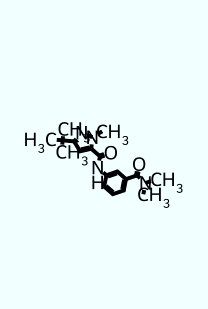 CN(C)C(=O)c1cccc(NC(=O)c2cc(C(C)(C)C)nn2C)c1